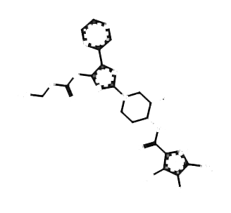 CCOC(=O)Oc1sc(N2CC[C@@H](NC(=O)c3[nH]c(C)c(Cl)c3C)[C@@H](F)C2)nc1-c1cnccn1